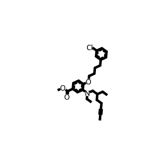 CC#CCCC(CC)CN(CC)c1cc(C(=O)OC)ccc1OCCCCc1cccc(Cl)c1